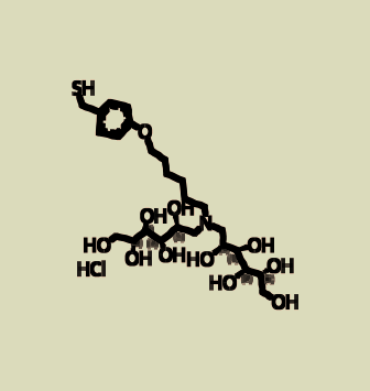 Cl.OC[C@@H](O)[C@@H](O)[C@H](O)[C@@H](O)CN(CCCCCCOc1ccc(CS)cc1)C[C@H](O)[C@@H](O)[C@H](O)[C@H](O)CO